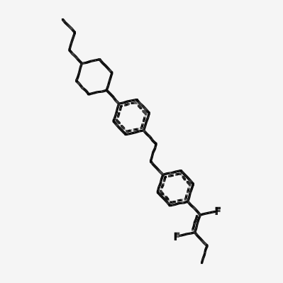 CCCC1CCC(c2ccc(CCc3ccc(C(F)=C(F)CC)cc3)cc2)CC1